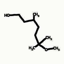 COC(C)(C)CCC(C)CCO